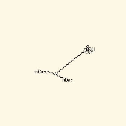 CCCCCCCCCCCCCCN(CCCCCCCCCCCCCC)CCCCCCCCCCCCCCCCCCOP(=O)(O)O